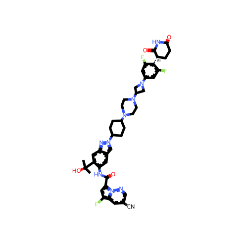 CC(C)(O)c1cc2nn(C3CCC(N4CCN(C5CN(c6cc(F)c([C@H]7CCC(=O)NC7=O)c(F)c6)C5)CC4)CC3)cc2cc1NC(=O)c1cc(F)c2cc(C#N)cnn12